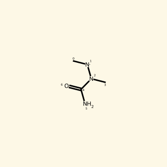 C[N]N(C)C(N)=O